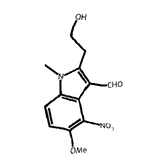 COc1ccc2c(c(C=O)c(CCO)n2C)c1[N+](=O)[O-]